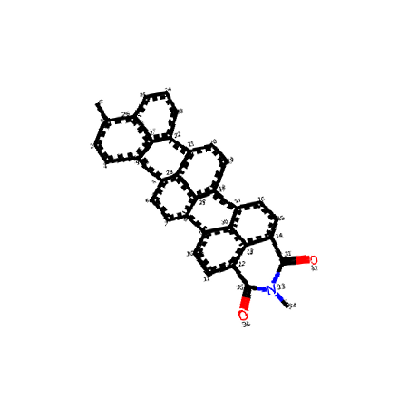 Cc1ccc2c3ccc4c5ccc6c7c(ccc(c8ccc(c9cccc1c92)c3c84)c75)C(=O)N(C)C6=O